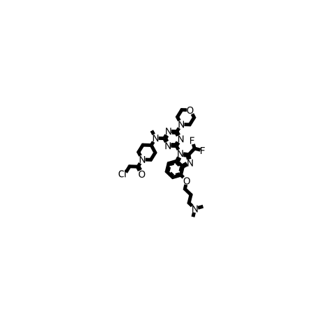 CN(C)CCCOc1cccc2c1nc(C(F)F)n2-c1nc(N2CCOCC2)nc(N(C)C2CCN(C(=O)CCl)CC2)n1